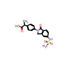 CC(C(=O)O)c1ccc(N2Cc3cc(NS(C)(=O)=O)ccc3C2=O)cc1